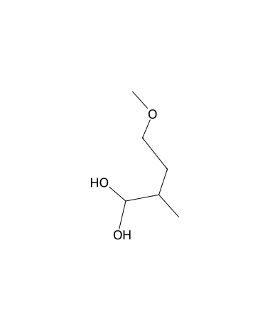 COCCC(C)C(O)O